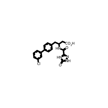 O=C(O)CC(Cc1ccc(-c2cccc(Cl)c2)cc1)NC(=O)c1n[nH]c(=O)[nH]1